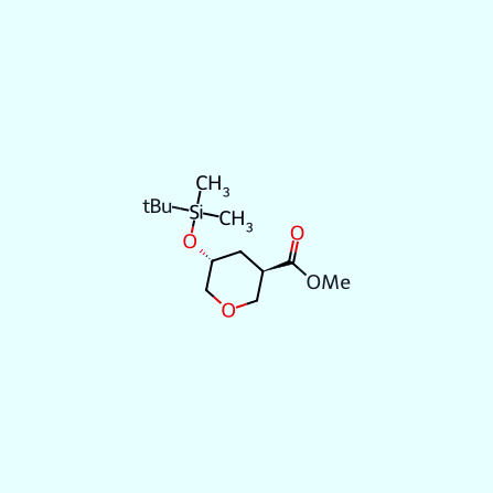 COC(=O)[C@H]1COC[C@H](O[Si](C)(C)C(C)(C)C)C1